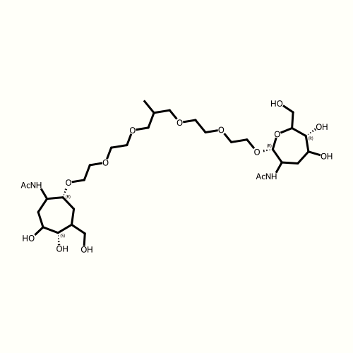 CC(=O)NC1CC(O)[C@@H](O)C(CO)O[C@H]1OCCOCCOCC(C)COCCOCCO[C@@H]1CC(CO)[C@H](O)C(O)CC1NC(C)=O